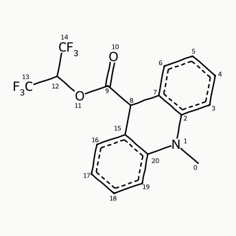 CN1c2ccccc2C(C(=O)OC(C(F)(F)F)C(F)(F)F)c2ccccc21